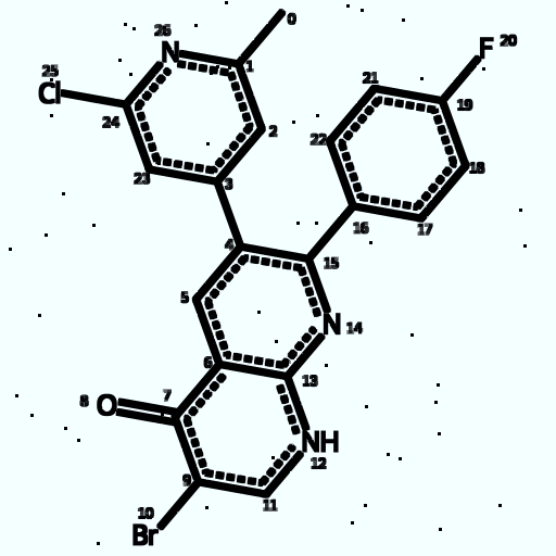 Cc1cc(-c2cc3c(=O)c(Br)c[nH]c3nc2-c2ccc(F)cc2)cc(Cl)n1